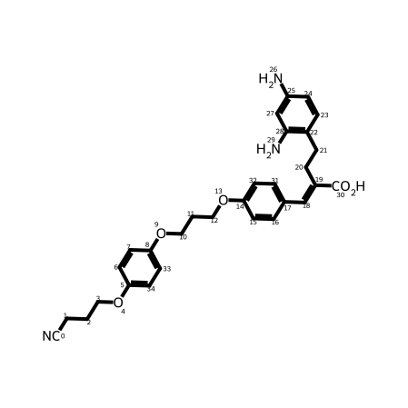 N#CCCCOc1ccc(OCCCOc2ccc(/C=C(\CCc3ccc(N)cc3N)C(=O)O)cc2)cc1